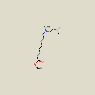 CCCCCCCCCOC(=O)CCCCCCCN(CCCCCCCC)CCN(C)C